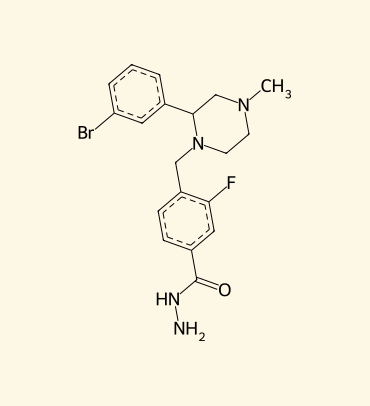 CN1CCN(Cc2ccc(C(=O)NN)cc2F)C(c2cccc(Br)c2)C1